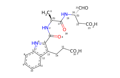 C[C@H](NC(=O)c1[nH]c2ccccc2c1CCC(=O)O)C(=O)N[C@H](C=O)CC(=O)O